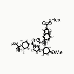 CCCCCCOC(=O)c1cc2cc(NC(=O)[C@@H]3[C@H](C4CCC(OC)CC4)CCN3C(=O)[C@H]3CC[C@H]([C@H](N)CF)CC3)ccc2o1